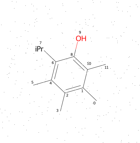 Cc1c(C)c(C)c(C(C)C)c(O)c1C